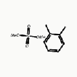 COS(=O)(=O)OC.Cc1ccccc1C